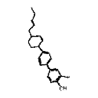 CCCCCC1CCC(c2ccc(-c3ccc(O)c(F)c3)cc2)CC1